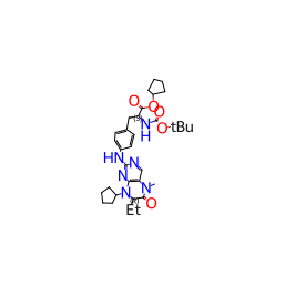 CC[C@@H]1C(=O)N(C)c2cnc(Nc3ccc(C[C@H](NC(=O)OC(C)(C)C)C(=O)OC4CCCC4)cc3)nc2N1C1CCCC1